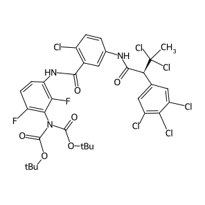 CC(C)(C)OC(=O)N(C(=O)OC(C)(C)C)c1c(F)ccc(NC(=O)c2cc(NC(=O)[C@H](c3cc(Cl)c(Cl)c(Cl)c3)C(C)(Cl)Cl)ccc2Cl)c1F